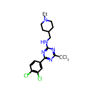 CCN1CCC(CNc2nc(-c3ccc(Cl)c(Cl)c3)nc(C(Cl)(Cl)Cl)n2)CC1